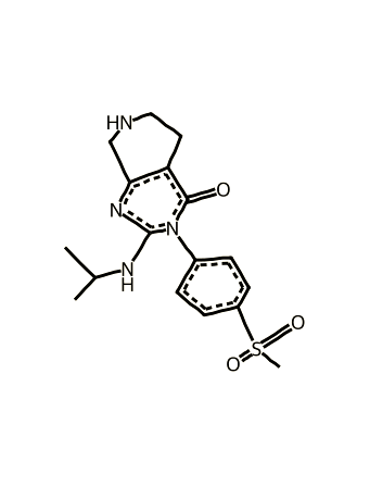 CC(C)Nc1nc2c(c(=O)n1-c1ccc(S(C)(=O)=O)cc1)CCNC2